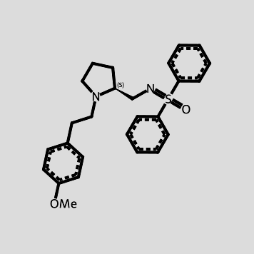 COc1ccc(CCN2CCC[C@H]2CN=S(=O)(c2ccccc2)c2ccccc2)cc1